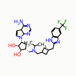 CC(C)N(CC1CC(Cc2nc3cc(C(F)(F)F)ccc3[nH]2)C1)C[C@H]1C[C@@H](N2C=CC3C(N)=NC=NC32)[C@H](O)[C@@H]1O